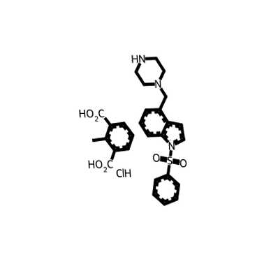 Cc1c(C(=O)O)cccc1C(=O)O.Cl.O=S(=O)(c1ccccc1)n1ccc2c(CN3CCNCC3)cccc21